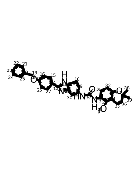 COc1c(NC(=O)Nc2ccc3[nH]c(-c4ccc(OCc5ccccc5)cc4)nc3c2)ccc2c1C=CC(C)(C)O2